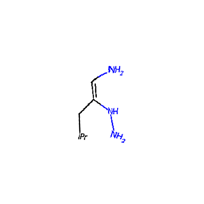 CC(C)C/C(=C/N)NN